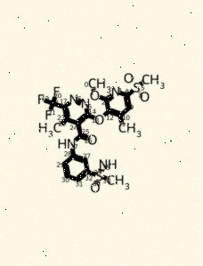 COc1nc(S(C)(=O)=O)cc(C)c1Oc1nnc(C(F)(F)F)c(C)c1C(=O)Nc1cccc(S(C)(=N)=O)c1